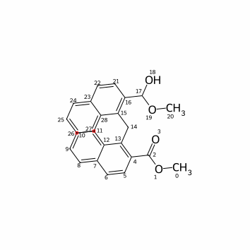 COC(=O)c1ccc2ccccc2c1Cc1c(C(O)OC)ccc2ccccc12